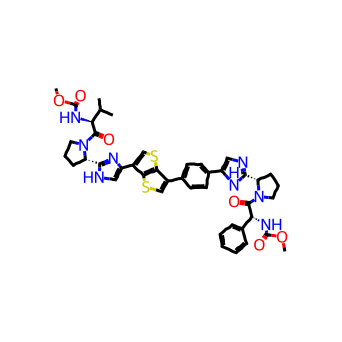 COC(=O)N[C@H](C(=O)N1CCC[C@H]1c1nc(-c2csc3c(-c4ccc(-c5cnc([C@@H]6CCCN6C(=O)[C@H](NC(=O)OC)c6ccccc6)[nH]5)cc4)csc23)c[nH]1)C(C)C